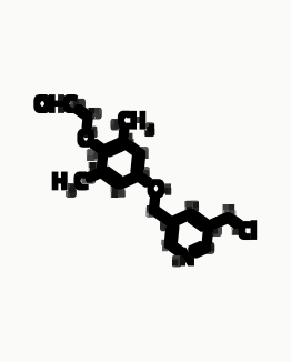 Cc1cc(OCc2cncc(CCl)c2)cc(C)c1OCC=O